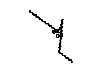 CCCCCCCC/C=C\CCCCCCCC(=O)OC(COCCCCC)COC(=O)CCCCCCCCCCCCCCCCC